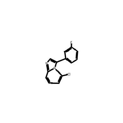 Fc1cccc(-c2[c]nc3cccc(Cl)n23)c1